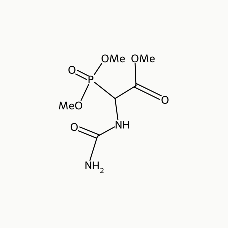 COC(=O)C(NC(N)=O)P(=O)(OC)OC